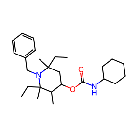 CCC1(C)CC(OC(=O)NC2CCCCC2)C(C)C(C)(CC)N1Cc1ccccc1